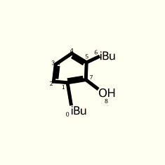 CCC(C)c1c[c]cc(C(C)CC)c1O